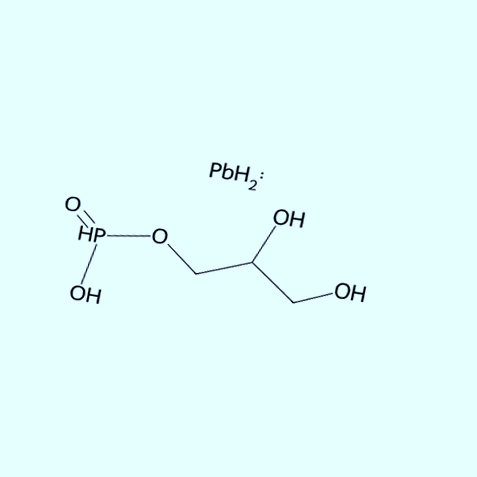 O=[PH](O)OCC(O)CO.[PbH2]